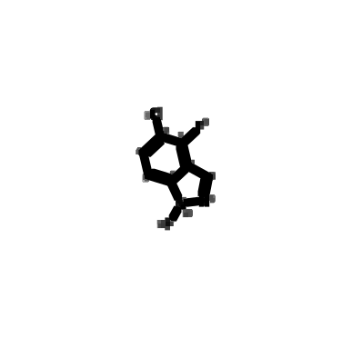 Fc1c(Cl)ccc2c1[c]nn2F